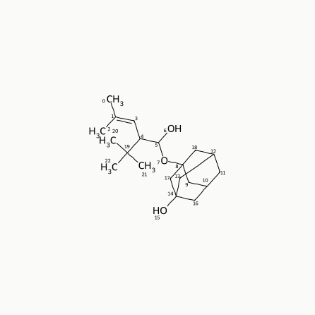 CC(C)=CC(C(O)OC12CC3CC(CC(O)(C3)C1)C2)C(C)(C)C